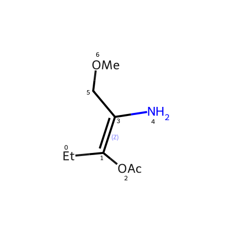 CC/C(OC(C)=O)=C(/N)COC